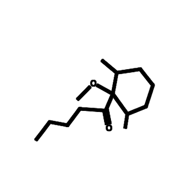 CCCCC(=O)C1(OC)C(C)CCCC1C